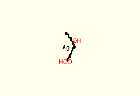 CCCCCC[C@@H](O)C/C=C\CCCCCCCC(=O)O.[Ag]